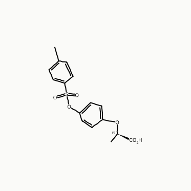 Cc1ccc(S(=O)(=O)Oc2ccc(O[C@H](C)C(=O)O)cc2)cc1